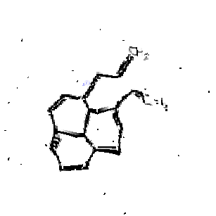 C=C/C=C1/C=CC2=CC=CC3=CC=C(C=C)C1C23